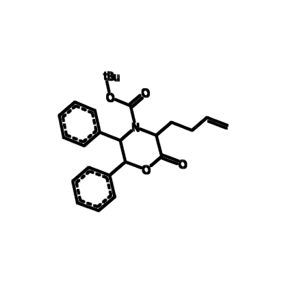 C=CCCC1C(=O)OC(c2ccccc2)C(c2ccccc2)N1C(=O)OC(C)(C)C